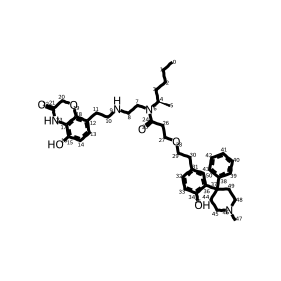 CCCC[C@@H](C)N(CCNCCc1ccc(O)c2c1OCC(=O)N2)C(=O)CCOCCc1ccc(O)c(C2(c3ccccc3)CCN(C)CC2)c1